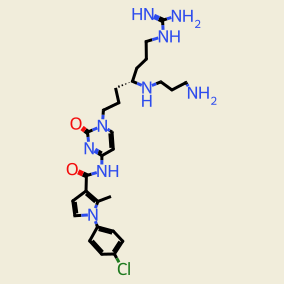 Cc1c(C(=O)Nc2ccn(CCC[C@H](CCCNC(=N)N)NCCCN)c(=O)n2)ccn1-c1ccc(Cl)cc1